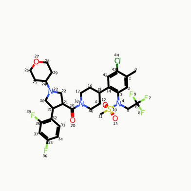 Cc1cc(N(CC(F)(F)F)S(C)(=O)=O)c(C2CCN(C(=O)C3CN(C4CCOCC4)CC3c3ccc(F)cc3F)CC2)cc1Cl